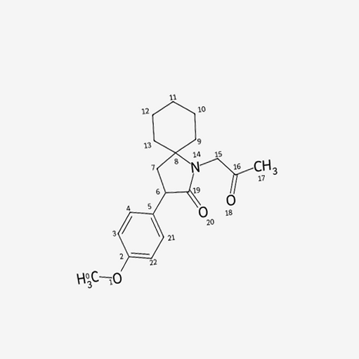 COc1ccc(C2CC3(CCCCC3)N(CC(C)=O)C2=O)cc1